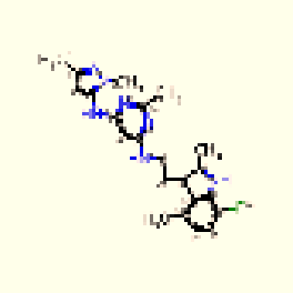 Cc1cc(Nc2cc(NCCC3c4c(C)ccc(F)c4NC3C)nc(C)n2)n(C)n1